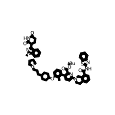 Cc1c(OC2CCC(CCCN3CC[C@H](c4cccc5c(C6CCC(=O)NC6=O)nn(C)c45)C3)CC2)cccc1-c1ccc(N2CCc3cccc(C(=O)Nc4nc5ccccc5s4)c3C2)nc1C(=O)OC(C)(C)C